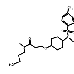 CN(CCCO)C(=O)CCOC1CCC(N(C)S(=O)(=O)c2ccc(C(F)(F)F)cc2)CC1